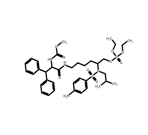 CCOP(=O)(OCC)OCC(CCCCNC(=O)C(NC(=O)OC)C(c1ccccc1)c1ccccc1)N(CC(C)C)S(=O)(=O)c1ccc(N)cc1